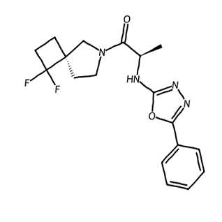 C[C@@H](Nc1nnc(-c2ccccc2)o1)C(=O)N1CC[C@]2(CCC2(F)F)C1